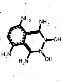 NC1=c2c(N)ccc(N)c2=C(N)N(O)N1O